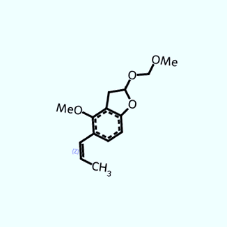 C/C=C\c1ccc2c(c1OC)C[C](OCOC)O2